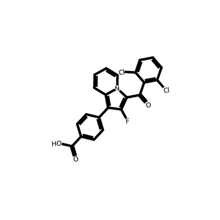 O=C(O)c1ccc(-c2c(F)c(C(=O)c3c(Cl)cccc3Cl)n3ccccc23)cc1